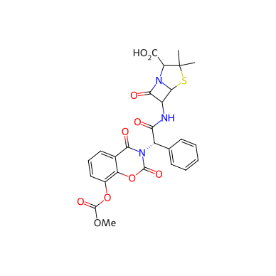 COC(=O)Oc1cccc2c(=O)n([C@H](C(=O)NC3C(=O)N4C3SC(C)(C)C4C(=O)O)c3ccccc3)c(=O)oc12